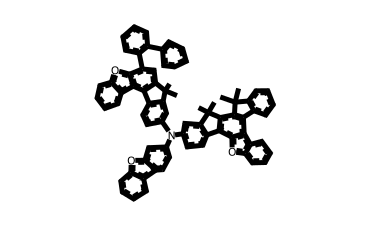 CC1(C)c2cc(N(c3ccc4c(c3)C(C)(C)c3c5c(c6c(oc7ccccc76)c3-4)-c3ccccc3C5(C)C)c3ccc4c(c3)oc3ccccc34)ccc2-c2c1cc(-c1ccccc1-c1ccccc1)c1oc3ccccc3c21